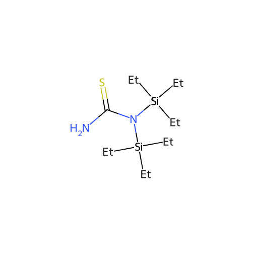 CC[Si](CC)(CC)N(C(N)=S)[Si](CC)(CC)CC